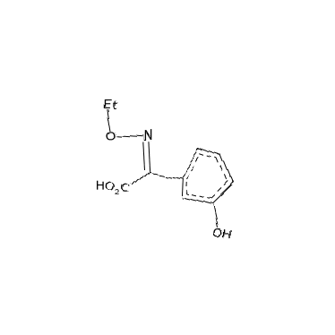 CCO/N=C(\C(=O)O)c1cccc(O)c1